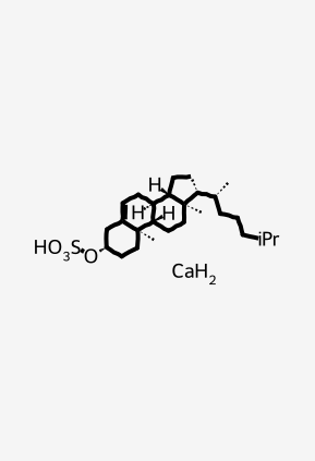 CC(C)CCC[C@@H](C)[C@H]1CC[C@H]2[C@@H]3CC=C4C[C@@H](OS(=O)(=O)O)CC[C@]4(C)[C@H]3CC[C@]12C.[CaH2]